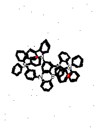 c1ccc([Si](c2ccccc2)(c2ccccc2)c2cccc(N3c4ccccc4B4c5ccccc5N(c5ccccc5[Si](c5ccccc5)(c5ccccc5)c5ccccc5)c5cc(-n6c7ccccc7c7ccccc76)cc3c54)c2)cc1